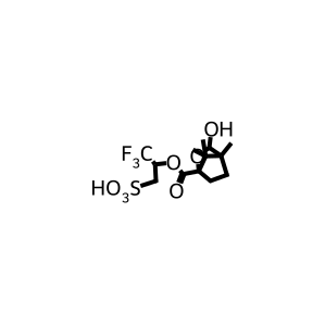 CC12CCC(C(=O)OC(CS(=O)(=O)O)C(F)(F)F)(OC1O)C2(C)C